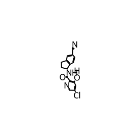 N#Cc1ccc2c(c1)CC[C@H]2NC(=O)c1ncc(Cl)cc1O